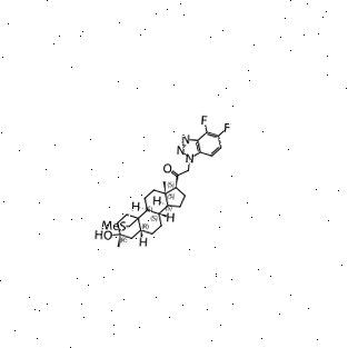 CSCC12CC[C@@](C)(O)C[C@H]1CC[C@@H]1[C@@H]2CC[C@]2(C)[C@@H](C(=O)Cn3nnc4c(F)c(F)ccc43)CC[C@@H]12